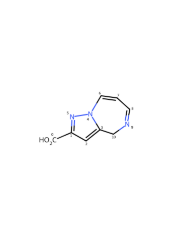 O=C(O)c1cc2n(n1)C=CC=NC2